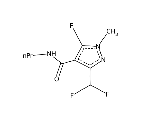 CCCNC(=O)c1c(C(F)F)nn(C)c1F